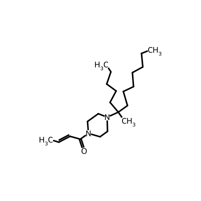 C/C=C/C(=O)N1CCN(C(C)(CCCCC)CCCCCCC)CC1